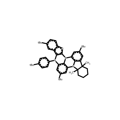 CC(C)(C)c1ccc(N2c3cc(C(C)(C)C)cc4c3B(c3cc(C(C)(C)C)cc5c3N4C3(C)CCCCC53C)c3sc4ccc(C(C)(C)C)cc4c32)cc1